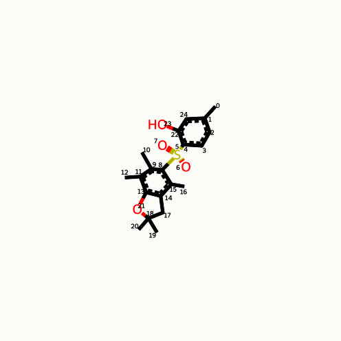 Cc1ccc(S(=O)(=O)c2c(C)c(C)c3c(c2C)CC(C)(C)O3)c(O)c1